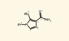 CC(C)n1cnc(C(N)=O)c1C(C)(C)C